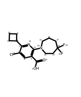 O=C(O)c1cc(Cl)c(C2CCC2)nc1N1CCCC(F)(F)CC1